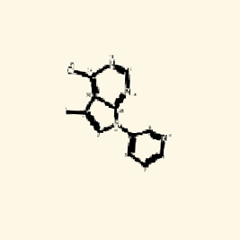 Cc1cn(-c2cccnc2)c2ncnc(Cl)c12